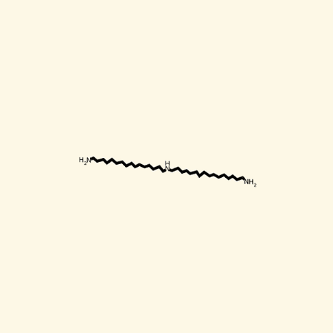 NCCCCCCCCCCCCCCCCNCCCCCCCCCCCCCCCCN